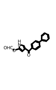 O=COc1cc(C(=O)c2ccc(-c3ccccc3)cc2)c[nH]1